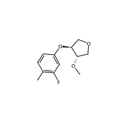 CO[C@H]1COC[C@@H]1Oc1ccc(C)c(F)c1